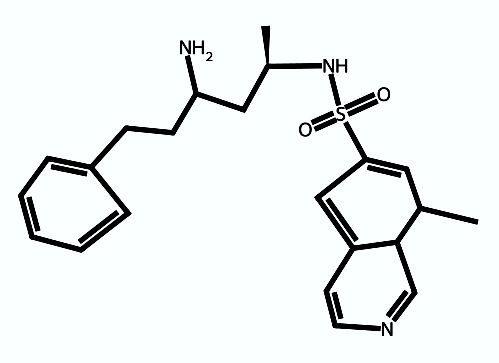 CC1C=C(S(=O)(=O)N[C@H](C)CC(N)CCc2ccccc2)C=C2C=CN=CC21